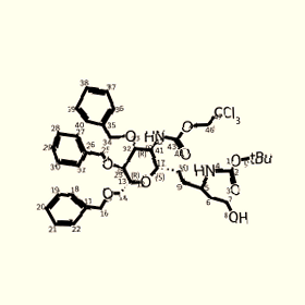 CC(C)(C)OC(=O)NC(CCO)CC[C@@H]1O[C@H](COCc2ccccc2)[C@@H](OCc2ccccc2)[C@H](OCc2ccccc2)[C@H]1NC(=O)OCC(Cl)(Cl)Cl